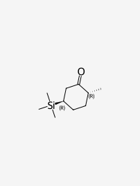 C[C@@H]1CC[C@@H]([Si](C)(C)C)CC1=O